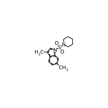 Cc1ccc2c(C)cn(S(=O)(=O)N3CCCCC3)c2c1